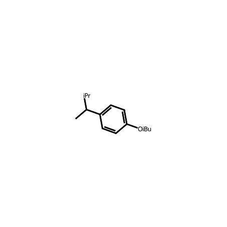 CC(C)COc1ccc(C(C)C(C)C)cc1